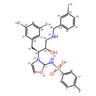 Cc1ccc(S(=O)(=O)NC2OC=CN2[C@@H](Cc2cc(F)cc(F)c2)[C@H](O)CNCc2cccc(I)c2)cc1